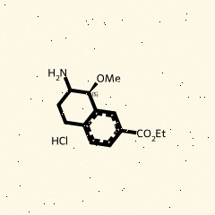 CCOC(=O)c1ccc2c(c1)[C@H](OC)C(N)CC2.Cl